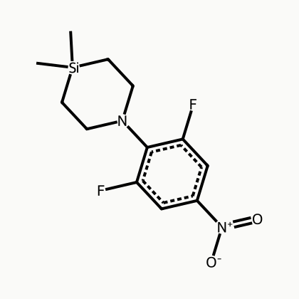 C[Si]1(C)CCN(c2c(F)cc([N+](=O)[O-])cc2F)CC1